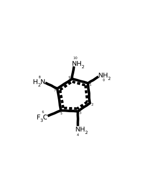 Nc1cc(N)c(C(F)(F)F)c(N)c1N